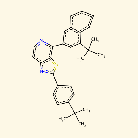 CC(C)(C)c1ccc(-c2nc3ccnc(-c4cc(C(C)(C)C)c5ccccc5c4)c3s2)cc1